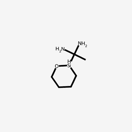 CC(N)(N)[SiH]1CCCCO1